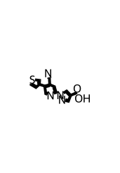 N#Cc1cc(-n2cc(C(=O)O)cn2)ncc1-c1ccsc1